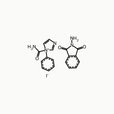 NC(=O)[N+]1(c2ccccc2)C=CN=C1.NN1C(=O)c2ccccc2C1=O.[I-]